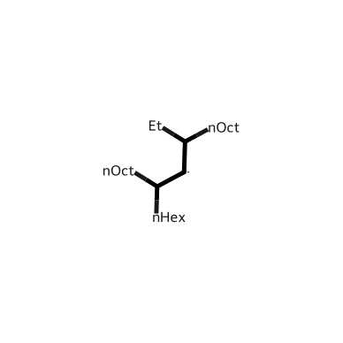 CCCCCCCCC([CH]C(CCCCCC)CCCCCCCC)CC